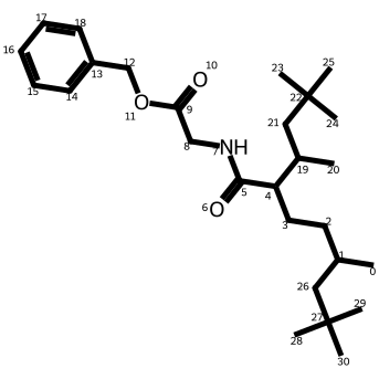 CC(CCC(C(=O)NCC(=O)OCc1ccccc1)C(C)CC(C)(C)C)CC(C)(C)C